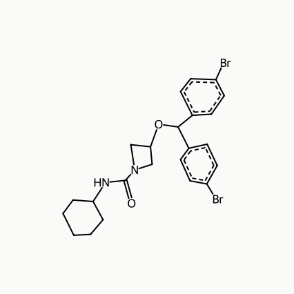 O=C(NC1CCCCC1)N1CC(OC(c2ccc(Br)cc2)c2ccc(Br)cc2)C1